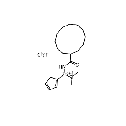 C[SiH](C)[Zr+2]([NH]C(=O)C1CCCCCCCCCCC1)[C]1=CC=CC1.[Cl-].[Cl-]